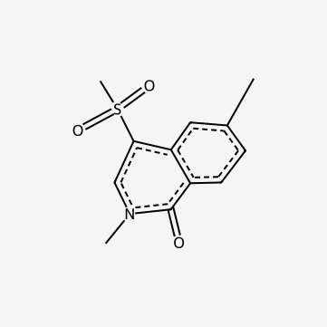 Cc1ccc2c(=O)n(C)cc(S(C)(=O)=O)c2c1